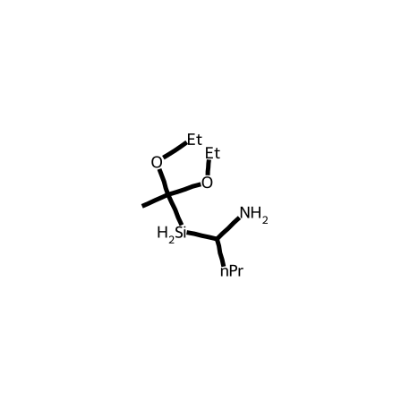 CCCC(N)[SiH2]C(C)(OCC)OCC